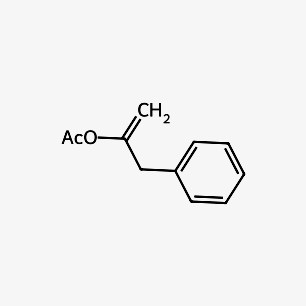 C=C(Cc1ccccc1)OC(C)=O